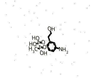 CP(=O)(O)P(=O)(O)O.Nc1cccc(CCO)c1